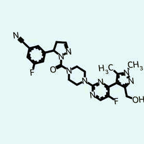 Cc1c(-c2nc(N3CCN(C(=O)N4N=CCC4c4cc(F)cc(C#N)c4)CC3)ncc2F)c(CO)nn1C